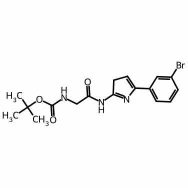 CC(C)(C)OC(=O)NCC(=O)NC1=NC(c2cccc(Br)c2)=CC1